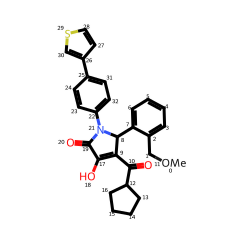 COCc1ccccc1C1C(C(=O)C2CCCC2)=C(O)C(=O)N1c1ccc(-c2ccsc2)cc1